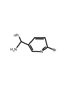 CCCC(N)c1ccc(Br)nc1